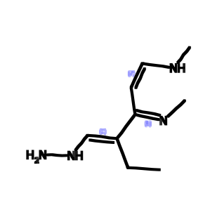 CCC(=C\NN)/C(/C=C\NC)=N/C